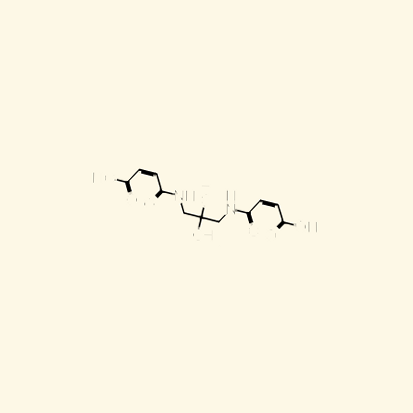 CC(C)(CNC(=O)/C=C\C(=O)O)CNC(=O)/C=C\C(=O)O